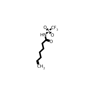 C=CCCCCC(=O)NS(=O)(=O)C(F)(F)F